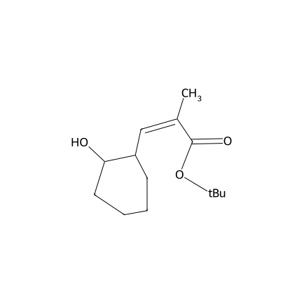 CC(=CC1CCCCC1O)C(=O)OC(C)(C)C